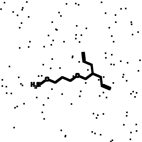 C=CCC(CC=C)COCCCO[SiH3]